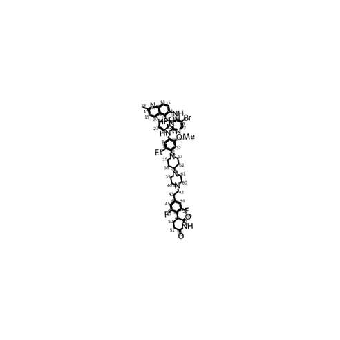 CCc1cc(Nc2ncc(Br)c(Nc3ccc4nc(C)ccc4c3[PH]3(O)CC=CC3)n2)c(OC)cc1N1CCC(N2CCN(CCc3cc(F)c(C4CCC(=O)NC4=O)c(F)c3)CC2)CC1